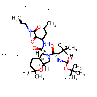 C=CCNC(=O)C(=O)C(CCC)NC(=O)[C@@H]1[C@H]2CCC(C)(C)O[C@H]2CN1C(=O)[C@@H](NC(=O)OC(C)(C)C)C(C)(C)C